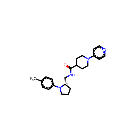 O=C(NC[C@H]1CCCN1c1ccc(C(F)(F)F)cc1)C1CCN(c2ccncc2)CC1